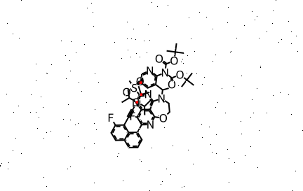 CC(c1cccnc1N(C(=O)OC(C)(C)C)C(=O)OC(C)(C)C)N1CCOc2nc(-c3cccc4ccc(F)c(C#C[Si](C(C)C)(C(C)C)C(C)C)c34)c(F)c3nc(S(C)(=O)=O)nc1c23